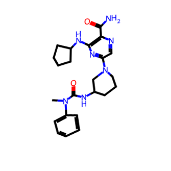 CN(C(=O)NC1CCCN(c2cnc(C(N)=O)c(NC3CCCC3)n2)C1)c1ccccc1